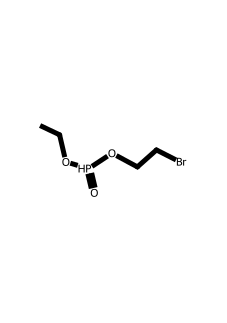 CCO[PH](=O)OCCBr